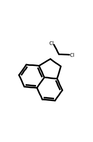 ClCCl.c1cc2c3c(cccc3c1)CC2